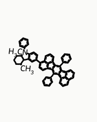 CC1CCCC2(C)C1c1cc(-c3ccc4c5c(-c6ccccc6)c6c7cccc8cccc(c6c(-c6ccccc6)c5c5cccc3c54)c87)ccc1N2c1ccccc1